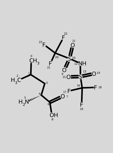 CC(C)C[C@@H](N)C(=O)O.O=S(=O)(NS(=O)(=O)C(F)(F)F)C(F)(F)F